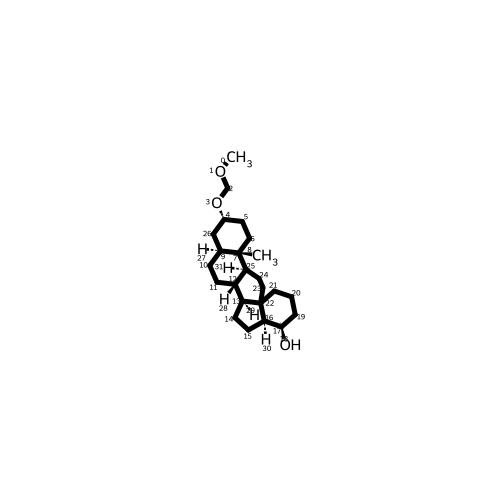 COCO[C@@H]1CC[C@@]2(C)[C@@H](CC[C@H]3[C@@H]4CC[C@@H]5[C@H](O)CCCC54CC[C@@H]32)C1